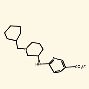 CCOC(=O)c1ccc(N[C@@H]2CCCN(CC3CCCCC3)C2)nc1